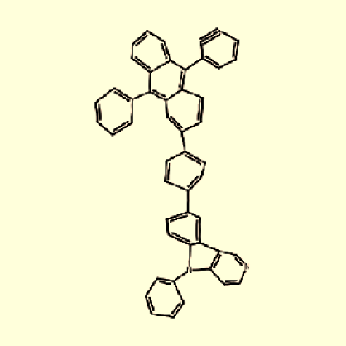 c1cccc(-c2c3ccccc3c(-c3ccccc3)c3cc(-c4ccc(-c5ccc6c(c5)c5cnccc5n6-c5ccccc5)cc4)ccc23)c#1